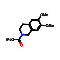 COC(=O)N1CCc2cc(OC)c(OC)cc2C1